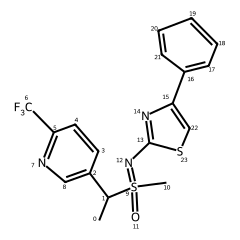 CC(c1ccc(C(F)(F)F)nc1)S(C)(=O)=Nc1nc(-c2ccccc2)cs1